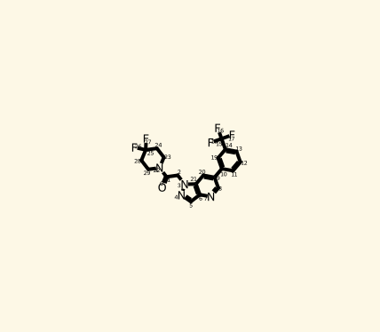 O=C(Cn1ncc2ncc(-c3cccc(C(F)(F)F)c3)cc21)N1CCC(F)(F)CC1